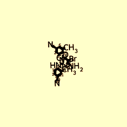 Cc1cc(C#N)cc(C)c1Oc1nc(Nc2ccc(C#N)cc2)[n+](C)c(N)c1Br